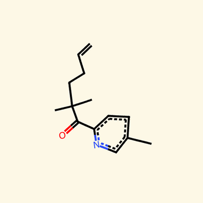 C=CCCC(C)(C)C(=O)c1ccc(C)cn1